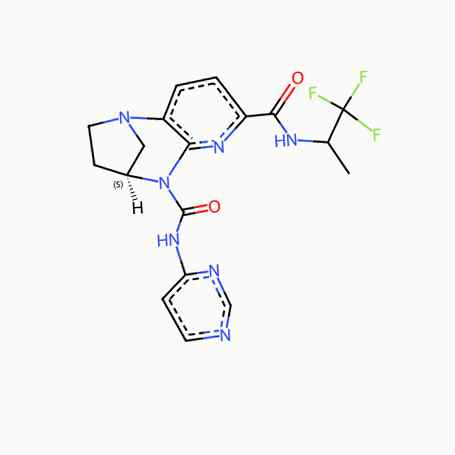 CC(NC(=O)c1ccc2c(n1)N(C(=O)Nc1ccncn1)[C@H]1CCN2C1)C(F)(F)F